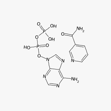 NC(=O)c1cccnc1.Nc1ncnc2c1ncn2OP(=O)(O)OP(=O)(O)O